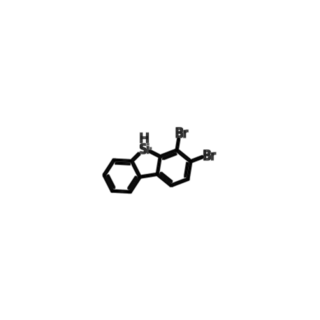 Brc1ccc2c(c1Br)[SiH]c1ccccc1-2